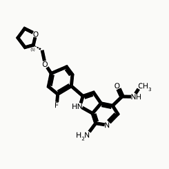 CNC(=O)c1cnc(N)c2[nH]c(-c3ccc(OC[C@@H]4CCCO4)cc3F)cc12